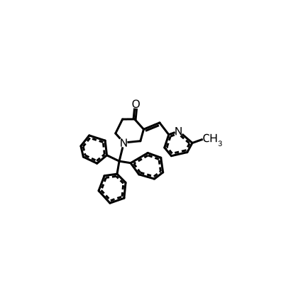 Cc1cccc(/C=C2\CN(C(c3ccccc3)(c3ccccc3)c3ccccc3)CCC2=O)n1